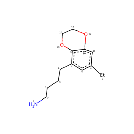 CCc1cc(CCCCN)c2c(c1)OCCO2